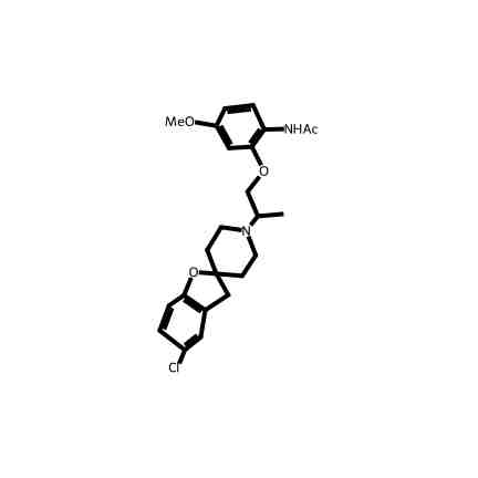 COc1ccc(NC(C)=O)c(OCC(C)N2CCC3(CC2)Cc2cc(Cl)ccc2O3)c1